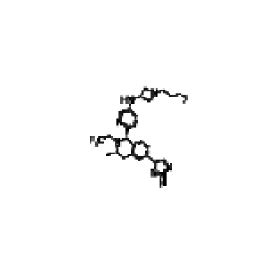 C[C@@H]1Cc2cc(-c3cn[nH]n3)ccc2[C@H](c2ccc(NC3CN(CCCF)C3)cn2)N1CC(F)(F)F